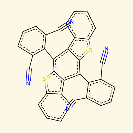 N#Cc1cccc(C#N)c1-c1c2sc3ccccc3c2c(-c2c(C#N)cccc2C#N)c2sc3ccccc3c12